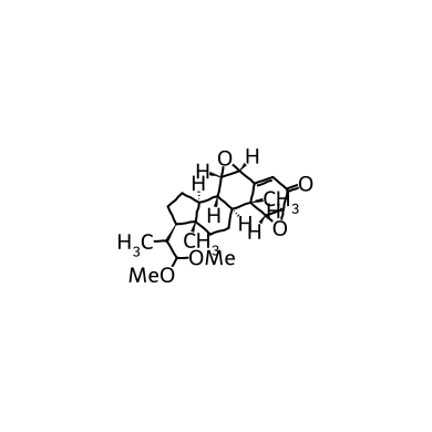 COC(OC)C(C)[C@H]1CC[C@H]2[C@@H]3[C@@H]4O[C@@H]4C4=CC(=O)[C@@H]5O[C@@H]5[C@]4(C)[C@H]3CC[C@]12C